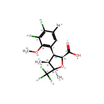 [2H]c1cc([C@H]2[C@@H](C(=O)O)O[C@@](C)(C(F)(F)F)[C@H]2C)c(OC)c(F)c1F